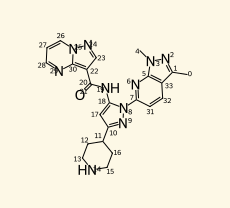 Cc1nn(C)c2nc(-n3nc(C4CCNCC4)cc3NC(=O)c3cnn4cccnc34)ccc12